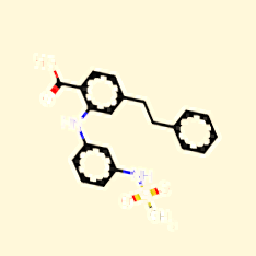 CS(=O)(=O)Nc1cccc(Nc2cc(CCc3ccccc3)ccc2C(=O)O)c1